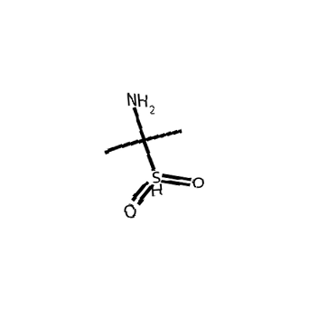 CC(C)(N)[SH](=O)=O